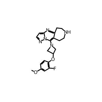 COc1ccc(OC2CN(c3c4c(nc5ccnn35)CCNCC4)C2)c(F)c1